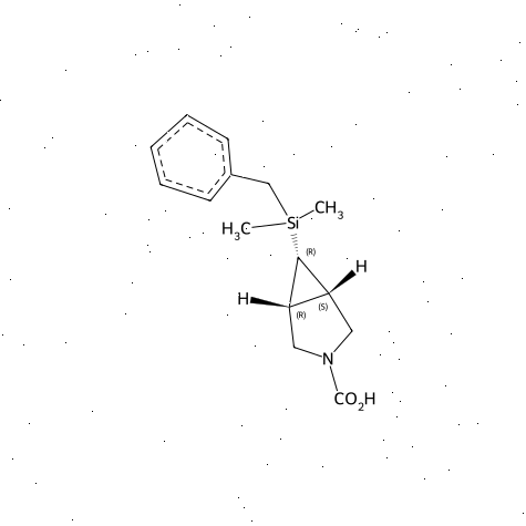 C[Si](C)(Cc1ccccc1)[C@@H]1[C@@H]2CN(C(=O)O)C[C@@H]21